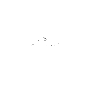 CNC(=O)[C@H]1CC(O)CN1C(=O)C(n1cc(CN2CCCS(=O)(=O)CC2)nn1)C(C)(C)C